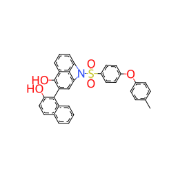 Cc1ccc(Oc2ccc(S(=O)(=O)N3c4cccc5c(O)c(-c6c(O)ccc7ccccc67)cc3c45)cc2)cc1